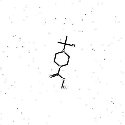 CCCCOC(=O)N1CCN(C(C)(C)CC)CC1